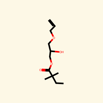 C=CCOCC(O)COC(=O)C(C)(C)CC